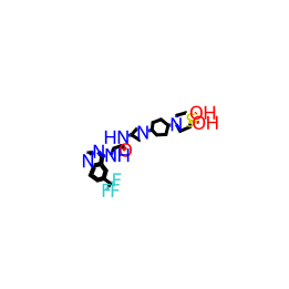 O=C(CNc1ncnc2ccc(C(F)(F)F)cc12)NC1CN(C2CCC(N3CCS(O)(O)CC3)CC2)C1